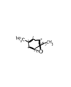 CC1=CCC2(C)OC2=C1